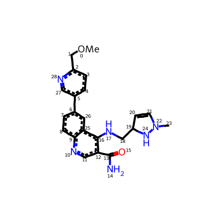 COCc1ccc(-c2ccc3ncc(C(N)=O)c(NCC4C=CN(C)N4)c3c2)cn1